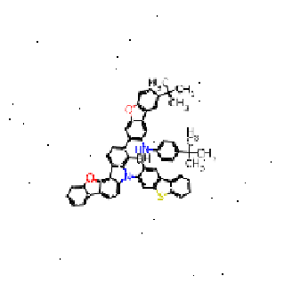 CC(C)(C)c1ccc(Nc2cc3c(cc2-c2ccc4c5c6oc7ccccc7c6ccc5n5c4c2Bc2cc4c(cc2-5)sc2ccccc24)oc2ccc(C(C)(C)C)cc23)cc1